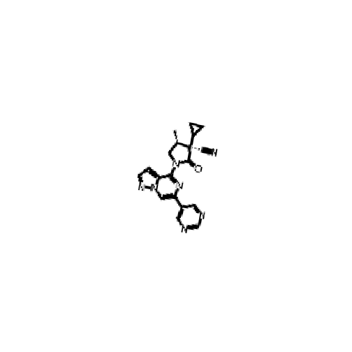 C[C@@H]1CN(c2nc(-c3cncnc3)cn3nccc23)C(=O)[C@]1(C#N)C1CC1